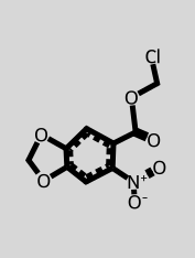 O=C(OCCl)c1cc2c(cc1[N+](=O)[O-])OCO2